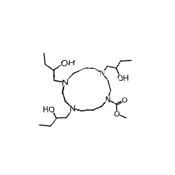 CCC(O)CN1CCCN(CC(O)CC)CCN(C(=O)OC)CCCN(CC(O)CC)CC1